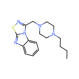 CCCCN1CCN(Cc2nsc3nc4ccccc4n23)CC1